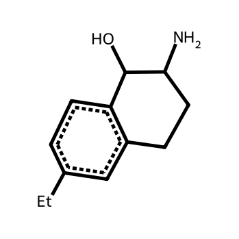 CCc1ccc2c(c1)CCC(N)C2O